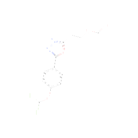 O=COCCc1nnc(-c2ccc(OC(F)F)cc2)o1